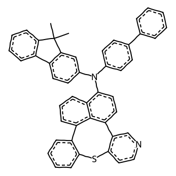 CC1(C)c2ccccc2-c2ccc(N(c3ccc(-c4ccccc4)cc3)c3ccc4c5c(cccc35)-c3ccccc3Sc3ccncc3-4)cc21